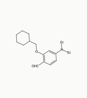 CCN(CC)c1ccc(C=O)c(OCC2CCCCC2)c1